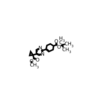 COC(=O)C1(c2cnc(C3=CCC(C(=O)OC(C)(C)C)CC3)nc2)CC1